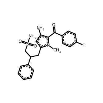 Cc1cc(CC(CS(N)(=O)=O)c2ccccc2)n(C)c1C(=O)c1ccc(F)cc1